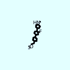 CNc1ccc(-c2ccc(-c3ccc(CCOSC)cc3)cc2F)cc1